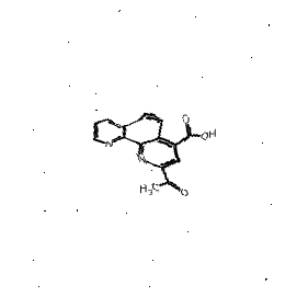 CC(=O)c1cc(C(=O)O)c2ccc3cccnc3c2n1